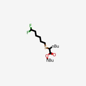 CCCCOC(=O)C(CCCC)SCCCCCC(F)F